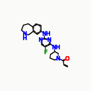 C=CC(=O)N1CCCC(Nc2nc(Nc3ccc4c(c3)CNCCC4)ncc2F)C1